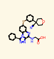 N#CC1(c2cccc(Sc3ccc4c(c3)nc(NCC(=O)O)c3nnc(-c5ccccc5)n34)c2)CCOCC1